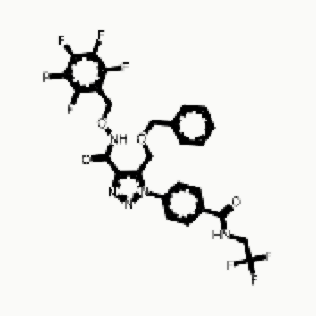 O=C(NCC(F)(F)F)c1ccc(-n2nnc(C(=O)NOCc3c(F)c(F)c(F)c(F)c3F)c2COCc2ccccc2)cc1